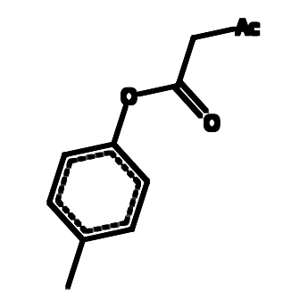 CC(=O)CC(=O)Oc1ccc(C)cc1